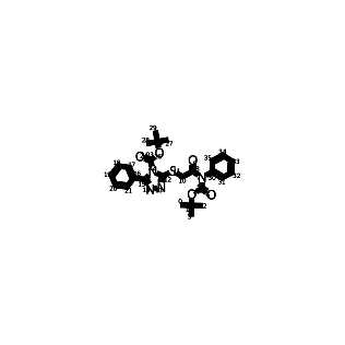 CC(C)(C)OC(=O)N(C(=O)CSc1nnc(-c2ccccc2)n1C(=O)OC(C)(C)C)c1ccccc1